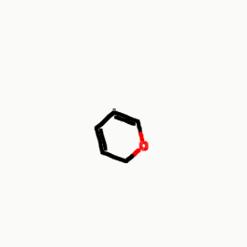 [C]1=COCC=C1